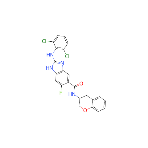 O=C(NC1COc2ccccc2C1)c1cc2nc(Nc3c(Cl)cccc3Cl)[nH]c2cc1F